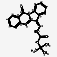 CC(C)(C)OC(=O)N/N=C1/c2ccccc2-n2c1nc1ccccc1c2=O